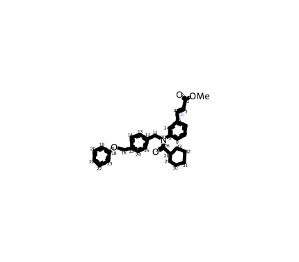 COC(=O)/C=C/c1cccc(N(Cc2ccc(COc3ccccc3)cc2)C(=O)C2CCCCC2)c1